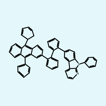 C1=CCC(c2c3ccccc3c(-c3ccccc3)c3cc(-c4ccccc4-c4ccccc4-c4ccc5c(c4)c4cccnc4n5-c4ccccc4)ccc23)C=C1